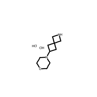 C1CN(C2CC3(CNC3)C2)CCO1.Cl.Cl